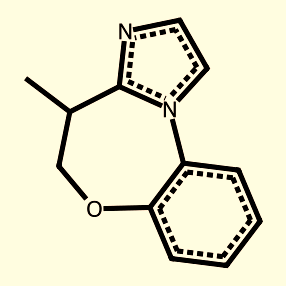 CC1COc2ccccc2-n2ccnc21